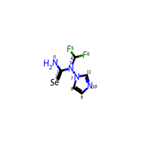 NC(=[Se])N(C(F)F)n1ccnc1